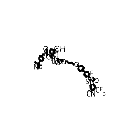 Cc1ncoc1-c1ccc(CNC(=O)[C@@H]2C[C@@H](O)CN2C(=O)[C@@H](NC(=O)COCCCCOc2ccc(-c3ccc(N4CC(=O)N(c5ccc(C#N)c(C(F)(F)F)c5)C4=S)c(F)c3)cc2)C(C)(C)C)cc1